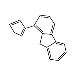 [C]1=C(c2cccc3c2Cc2ccccc2-3)C=CC1